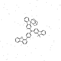 CC1(C)c2ccccc2-c2ccc(N(c3ccc(-c4cccc5c4oc4ccccc45)cc3)c3ccc4c(c3)C3(c5ccccc5-4)C4CC5CC(C4)CC3C5)cc21